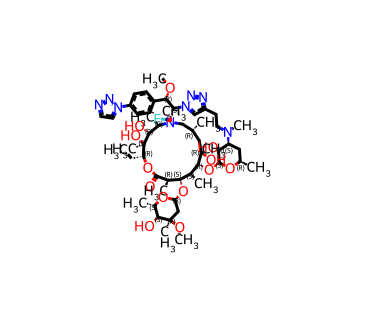 CC[C@H]1OC(=O)[C@H](C)[C@@H](O[C@H]2C[C@@](C)(OC)[C@@H](O)[C@H](C)O2)[C@H](C)[C@@H](O[C@@H]2O[C@H](C)C[C@H](N(C)CCc3cn([C@H](CF)[C@H](OC)c4ccc(-n5ccnn5)cc4)nn3)[C@H]2O)[C@](C)(O)C[C@@H](C)CN(C)[C@H](C)[C@@H](O)[C@]1(C)O